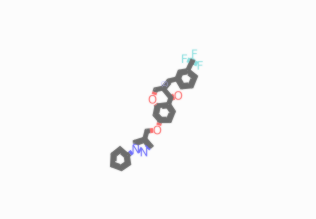 O=C1/C(=C\c2cccc(C(F)(F)F)c2)COc2cc(OCc3cnn(-c4ccccc4)c3)ccc21